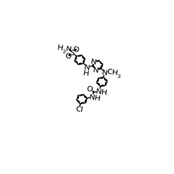 CN(c1ccc(NC(=O)Nc2cccc(Cl)c2)cc1)c1ccnc(Nc2ccc(S(N)(=O)=O)cc2)n1